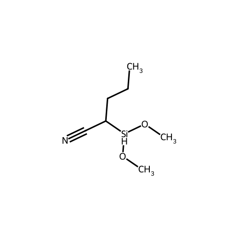 CCCC(C#N)[SiH](OC)OC